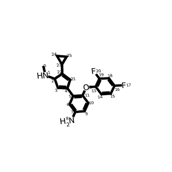 CNC1C=C(c2cc(N)ccc2Oc2ccc(F)cc2F)C=C1C1CC1